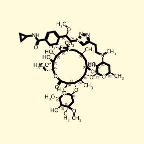 CC[C@H]1OC(=O)[C@H](C)[C@@H](O[C@H]2C[C@@](C)(OC)[C@@H](O)[C@H](C)O2)[C@H](C)[C@@H](O[C@@H]2O[C@H](C)C[C@H](N(C)CCc3cn([C@H](CF)[C@H](OC)C4=CC=C(C(=O)NC5CC5)CC4)nn3)[C@H]2O)[C@](C)(O)C[C@@H](C)CN(C)[C@H](C)[C@@H](O)[C@]1(C)O